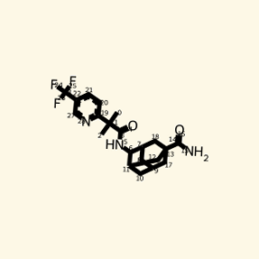 CC(C)(C(=O)NC1C2CC3CC1CC(C(N)=O)(C3)C2)c1ccc(C(F)(F)F)cn1